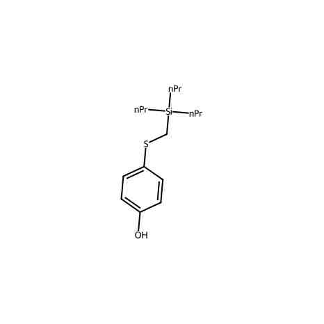 CCC[Si](CCC)(CCC)CSc1ccc(O)cc1